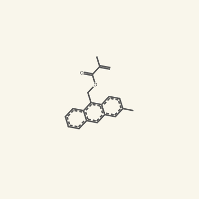 C=C(C)C(=O)OCc1c2ccccc2cc2cc(C)ccc12